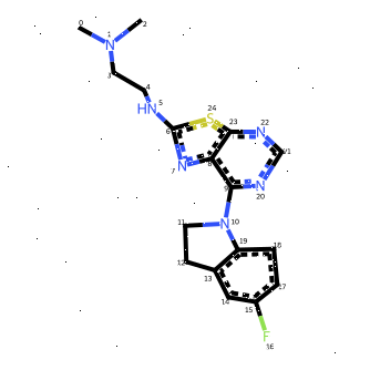 CN(C)CCNc1nc2c(N3CCc4cc(F)ccc43)ncnc2s1